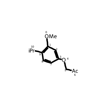 COc1cc(OCC(C)=O)ccc1C(C)C